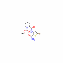 CC(C)(C)OC(=O)N1CCCCC1C(=O)Nc1cc(Br)sc1C(N)=O